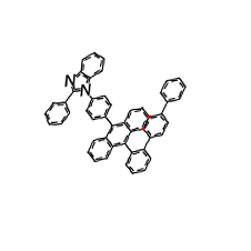 c1ccc(-c2ccc(-c3ccccc3-c3c4ccccc4c(-c4ccc(-n5c(-c6ccccc6)nc6ccccc65)cc4)c4ccccc34)cc2)cc1